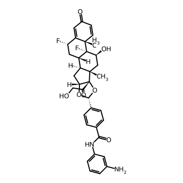 C[C@]12C=CC(=O)C=C1[C@@H](F)C[C@H]1[C@@H]3C[C@H]4O[C@@H](c5ccc(C(=O)Nc6cccc(N)c6)cc5)O[C@@]4(C(=O)CO)[C@@]3(C)C[C@H](O)[C@@]12F